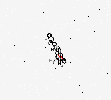 Cc1cc(C[C@@H](NC(=O)N2CCC(N3CCc4ccccc4NC3=O)CC2)C(=O)N2CCN(C3CC4CCC(C3)N4C)CC2)cc(Cl)c1N